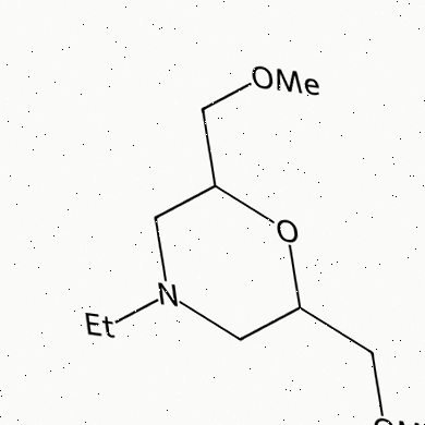 [CH2]CN1CC(COC)OC(COC)C1